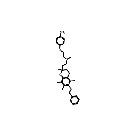 Cc1c(C)c2c(c(C)c1OCc1ccccc1)CCC(C)(CCN(C)CCOc1ccc(N)cc1)O2